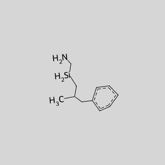 CC(C[SiH2]CN)Cc1ccccc1